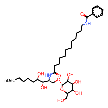 CCCCCCCCCCCCCC[C@@H](O)[C@@H](O)[C@H](CO[C@H]1OC(CO)[C@H](O)[C@H](O)C1O)NC(=O)CCCCCCCCCCCNC(=O)c1ccccc1